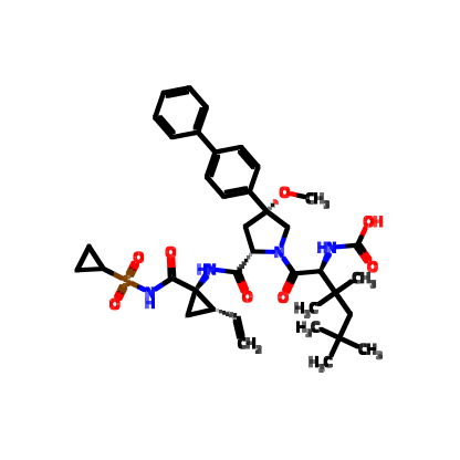 C=C[C@@H]1C[C@]1(NC(=O)[C@@H]1C[C@@](OC)(c2ccc(-c3ccccc3)cc2)CN1C(=O)[C@@H](NC(=O)O)C(C)(C)CC(C)(C)C)C(=O)NS(=O)(=O)C1CC1